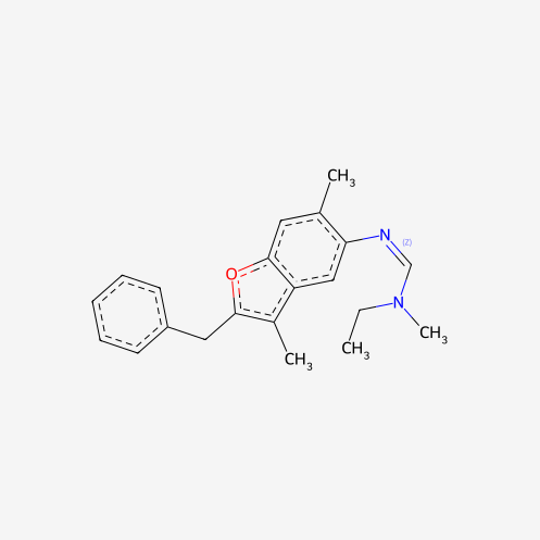 CCN(C)/C=N\c1cc2c(C)c(Cc3ccccc3)oc2cc1C